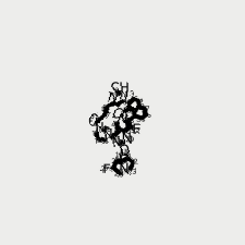 Cc1nccc(/C=C/C(=O)N2CCCN(c3nc(OC[C@@]45CCCN4C[C@H](F)C5)nc4c(F)c(-c5cccc6cccc(Cl)c56)ncc34)C2)n1